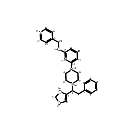 C1=C(C(Cc2ccccc2)N2CCN(c3cccc(OCc4ccncc4)n3)CC2)OCO1